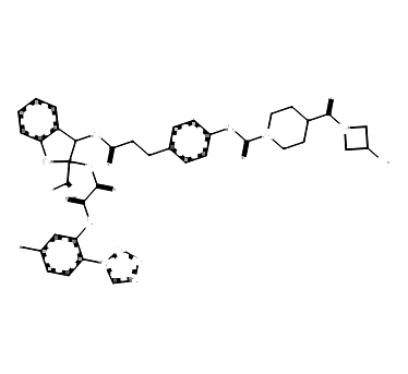 O=C(CCc1ccc(NC(=O)N2CCC(C(=O)N3CC(O)C3)CC2)cc1)NC1c2ccccc2NC1(NC(=O)C(=O)Nc1cc(Cl)ccc1-n1cnnn1)C(=O)O